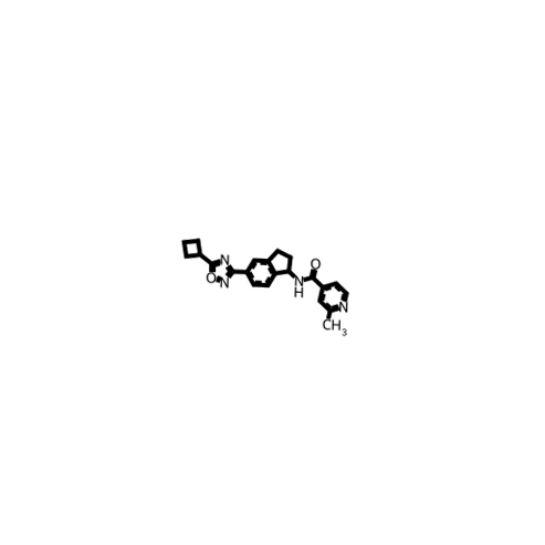 Cc1cc(C(=O)NC2CCc3cc(-c4noc(C5CCC5)n4)ccc32)ccn1